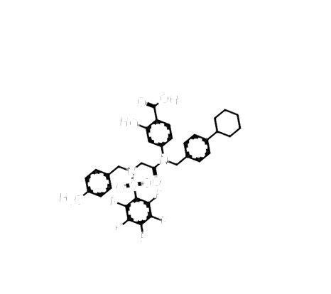 Cc1ccc(CN(CC(=O)N(Cc2ccc(C3CCCCC3)cc2)c2ccc(C(=O)O)c(O)c2)S(=O)(=O)c2c(F)c(F)c(F)c(F)c2F)cc1